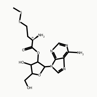 CSSCC[C@@H](N)C(=O)OC1C(O)C(CO)OC1n1cnc2c(N)ncnc21